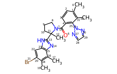 Cc1ccc(C(=O)N2CCCC2(C)c2nc3c(C)c(C)c(Br)cc3[nH]2)c(-n2nccn2)c1C